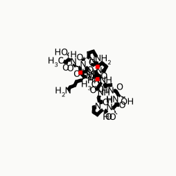 CC(=O)[C@H](CO)NC(=O)[C@@H]1CCCN1C(=O)[C@@H]1CCCN1C(=O)[C@@H]1CCCN1C(=O)[C@H](C)NC(=O)CNC(=O)[C@H](CO)NC(=O)[C@H](CO)NC(=O)[C@@H]1CCCN1C(=O)CNC(=O)CNC(=O)[C@H](CC(N)=O)NN[C@H](C=O)CCCCN